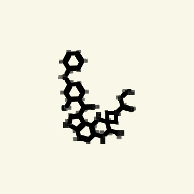 CC(C)(C)OC(=O)N1CC2(C1)Nc1c(cnc3[nH]cc(C(=O)c4ccc(Oc5ccccc5)cc4Cl)c13)NC2O